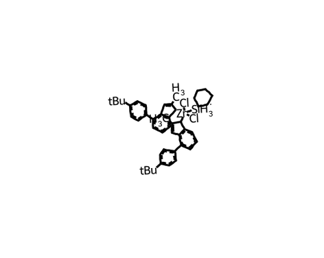 CC1=Cc2c(-c3ccc(C(C)(C)C)cc3)cccc2[CH]1[Zr]([SiH3])([Cl])([Cl])[CH]1C(C)=Cc2c(-c3ccc(C(C)(C)C)cc3)cccc21.[CH]1CCCCC1